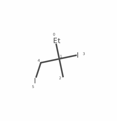 CCC(C)(I)CI